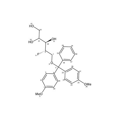 COc1ccc(C(OC[C@H](F)[C@H](O)C(O)CO)(c2ccccc2)c2ccc(OC)cc2)cc1